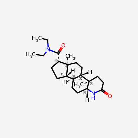 CCN(CC)C(=O)[C@H]1CC[C@H]2[C@@H]3CC[C@H]4NC(=O)CC[C@]4(C)[C@H]3CC[C@]12C